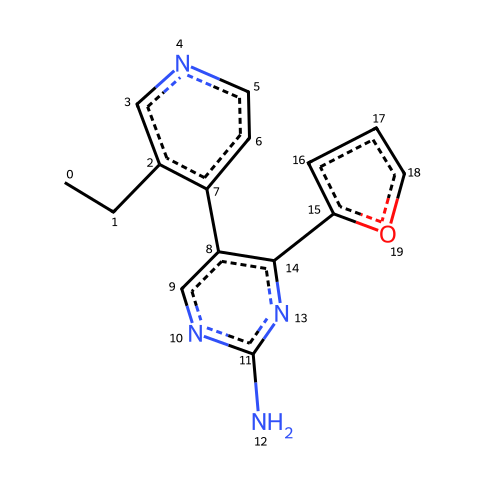 CCc1cnccc1-c1cnc(N)nc1-c1ccco1